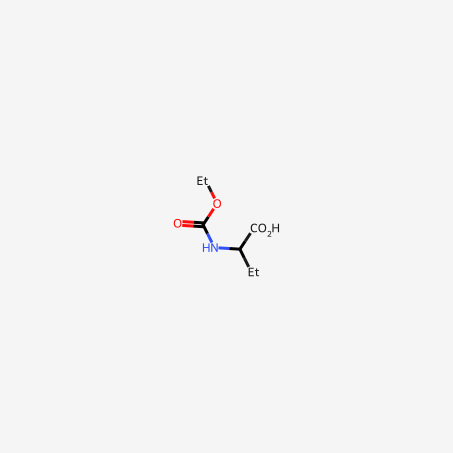 [CH2]CC(NC(=O)OCC)C(=O)O